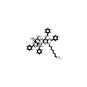 C=CCCCCCCO[C@@H]1O[C@H](COCc2ccccc2)[C@@H](O[C@@H]2O[C@@H]3COC(c4ccccc4)O[C@@H]3[C@H](O)[C@H]2O)[C@H](OCc2ccccc2)[C@H]1OCc1ccccc1